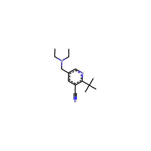 CCN(CC)Cc1cnc(C(C)(C)C)c(C#N)c1